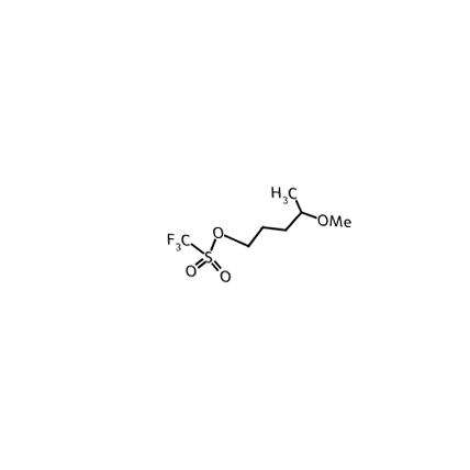 COC(C)CCCOS(=O)(=O)C(F)(F)F